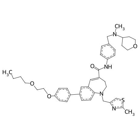 CCCCOCCOc1ccc(-c2ccc3c(c2)C=C(C(=O)Nc2ccc(CN(C)C4CCOCC4)cc2)CCN3Cc2csc(C)n2)cc1